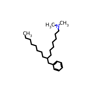 CCCCCCCCC(CCCCCCCN(C)C)Cc1ccccc1